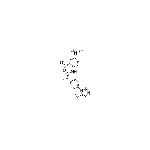 C/C(=N/Nc1ccc([N+](=O)[O-])cc1[N+](=O)[O-])c1ccc(-n2nncc2C(C)(C)C)cc1